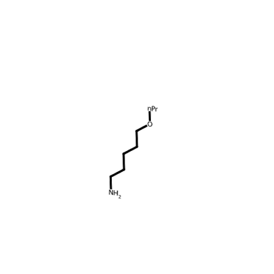 CCCOCCCCCN